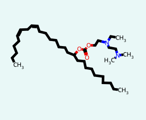 CCCCC/C=C\C/C=C\CCCCCCCC(CCCCCCCCCC)OC(=O)OCCN(CC)CCN(C)C